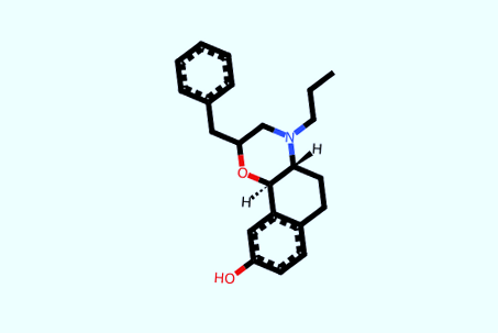 CCCN1CC(Cc2ccccc2)O[C@@H]2c3cc(O)ccc3CC[C@H]21